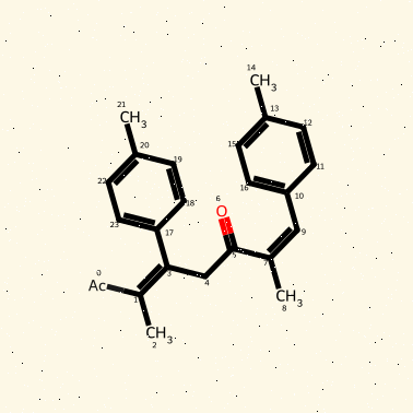 CC(=O)C(C)=C(CC(=O)C(C)=Cc1ccc(C)cc1)c1ccc(C)cc1